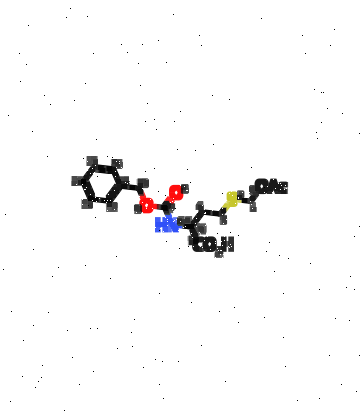 CC(=O)OCSCC[C@H](NC(=O)OCc1ccccc1)C(=O)O